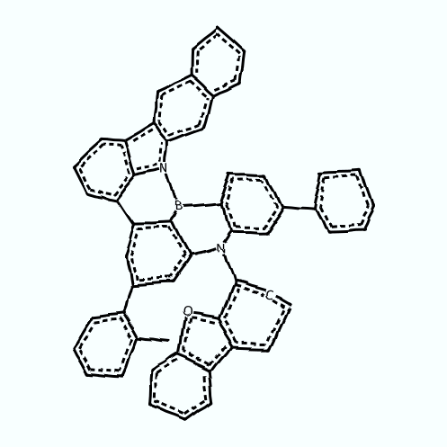 Cc1ccccc1-c1cc2c3c(c1)N(c1cccc4c1oc1ccccc14)c1cc(-c4ccccc4)ccc1B3n1c3cc4ccccc4cc3c3cccc-2c31